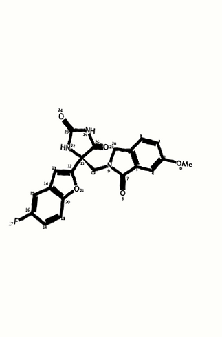 COc1ccc2c(c1)C(=O)N(C[C@@]1(c3cc4cc(F)ccc4o3)NC(=O)NC1=O)C2